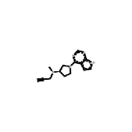 C#CCN(C)[C@@H]1CCN(c2ncnc3[nH]ccc23)C1